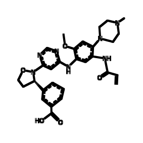 C=CC(=O)Nc1cc(Nc2cc(N3OCC[C@@H]3c3cccc(C(=O)O)c3)ncn2)c(OC)cc1N1CCN(C)CC1